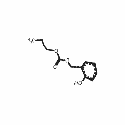 CCCOC(=O)OCc1ccccc1O